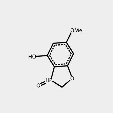 COc1cc(O)c2c(c1)OC[PH]2=O